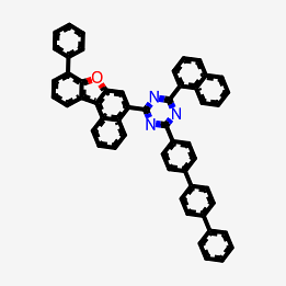 c1ccc(-c2ccc(-c3ccc(-c4nc(-c5cccc6ccccc56)nc(-c5cc6oc7c(-c8ccccc8)cccc7c6c6ccccc56)n4)cc3)cc2)cc1